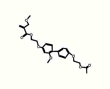 C=C(COC)C(=O)OCCOc1ccc(-c2ccc(OCCOC(C)=O)cc2)c(OC)c1